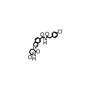 O=C(Cc1ccc(Cl)cc1)NC(=O)c1ccc2c(c1)CN(C1CCC(=O)NC1=O)C2